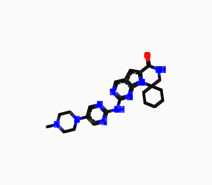 CN1CCN(c2cnc(Nc3ncc4cc5n(c4n3)C3(CCCCC3)CNC5=O)nc2)CC1